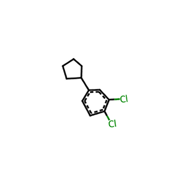 Clc1ccc(C2CCCC2)cc1Cl